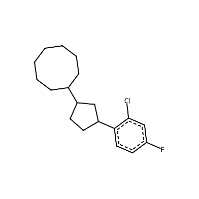 Fc1ccc(C2CCC(C3CCCCCCC3)C2)c(Cl)c1